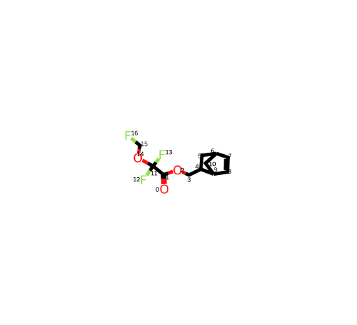 O=C(OCC1CC2C=CC1C2)C(F)(F)OCF